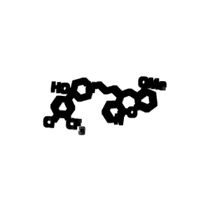 COc1cccc2c1C/C(=C/CCN1CCC(O)(c3ccc(Cl)c(C(F)(F)F)c3)CC1)c1cccnc1O2